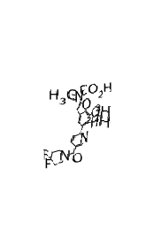 [2H]C([2H])([2H])Oc1cc(-c2ccc(C(=O)N3CCC(F)(F)CC3)cn2)cc2cc(N(C)C(=O)O)oc12